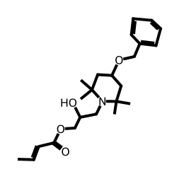 CC=CC(=O)OCC(O)CN1C(C)(C)CC(OCc2ccccc2)CC1(C)C